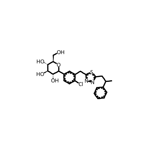 CC(Cc1nnc(Cc2cc(C3O[C@H](CO)[C@@H](O)[C@H](O)[C@H]3O)ccc2Cl)s1)c1ccccc1